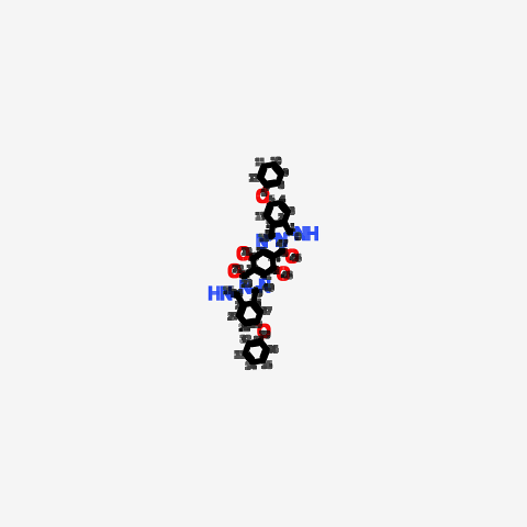 N=c1c2ccc(Oc3ccccc3)cc2c2nc3c(=O)c4c(=O)n5c(=N)c6ccc(Oc7ccccc7)cc6c5nc4c(=O)c3c(=O)n12